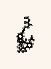 [2H]C([2H])([2H])N1C(=O)c2cccc(OC(F)F)c2[C@H]2C[C@@H]1c1nc3ccc(C#CCCN(C)C(=O)OC(C)(C)C)cc3n12